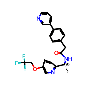 C[C@@H](NC(=O)Cc1ccc(-c2cccnc2)cc1)c1ccc(OCC(F)(F)F)cn1